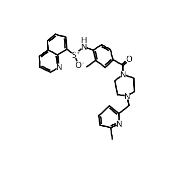 Cc1cccc(CN2CCN(C(=O)c3ccc(N[S+]([O-])c4cccc5cccnc45)c(C)c3)CC2)n1